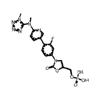 CN(c1ccc(-c2ccc(N3CC(COP(=O)(O)O)OC3=O)cc2F)cn1)c1nnnn1C